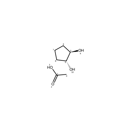 CC(=O)O.O[C@@H]1CCC[C@H]1O